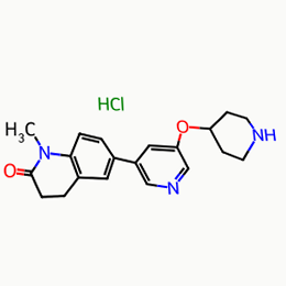 CN1C(=O)CCc2cc(-c3cncc(OC4CCNCC4)c3)ccc21.Cl